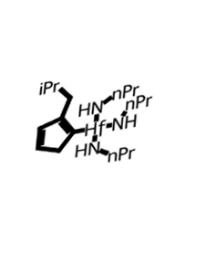 CCC[NH][Hf]([NH]CCC)([NH]CCC)[C]1=C(CC(C)C)C=CC1